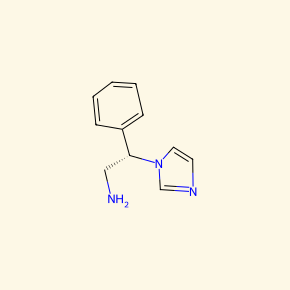 NC[C@H](c1ccccc1)n1ccnc1